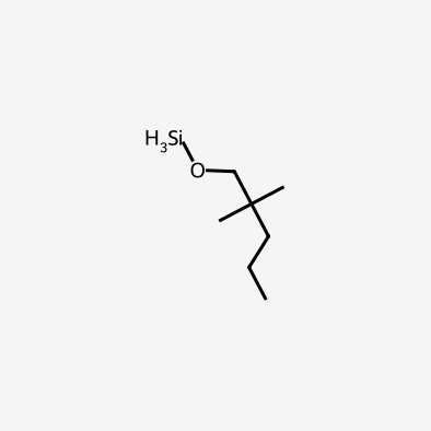 CCCC(C)(C)CO[SiH3]